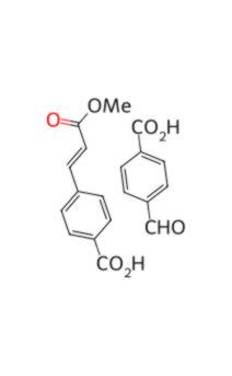 COC(=O)/C=C/c1ccc(C(=O)O)cc1.O=Cc1ccc(C(=O)O)cc1